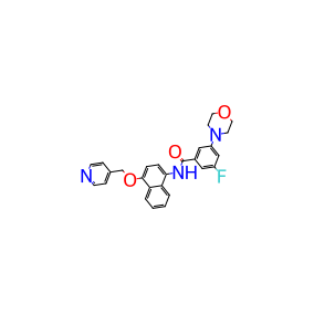 O=C(Nc1ccc(OCc2ccncc2)c2ccccc12)c1cc(F)cc(N2CCOCC2)c1